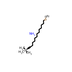 N.[CH2]CCSCCCCCCCCCCCCC#C[Si](C)(C)C